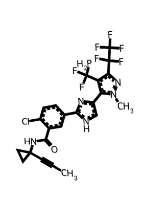 CC#CC1(NC(=O)c2cc(-c3nc(-c4c(C(F)(F)P)c(C(F)(F)C(F)(F)F)nn4C)c[nH]3)ccc2Cl)CC1